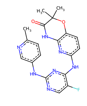 Cc1ccc(Nc2ncc(F)c(Nc3ccc4c(n3)NC(=O)C(C)(C)O4)n2)cn1